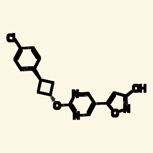 Oc1cc(-c2cnc(O[C@H]3C[C@H](c4ccc(Cl)cc4)C3)nc2)on1